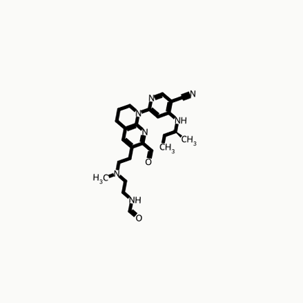 CC[C@H](C)Nc1cc(N2CCCc3cc(CCN(C)CCNC=O)c(C=O)nc32)ncc1C#N